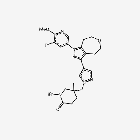 COc1ncc(-n2nc(-c3cnn(CC4(C)CCC(=O)N(C(C)C)C4)c3)c3c2CCOCC3)cc1F